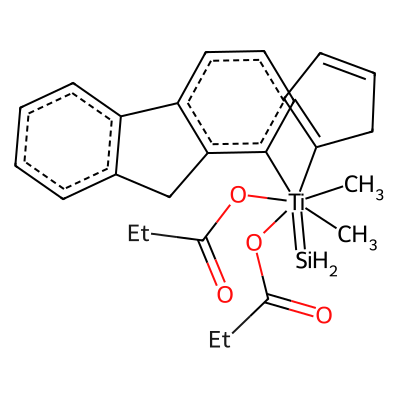 CCC(=O)[O][Ti]([CH3])([CH3])(=[SiH2])([O]C(=O)CC)([C]1=CC=CC1)[c]1cccc2c1Cc1ccccc1-2